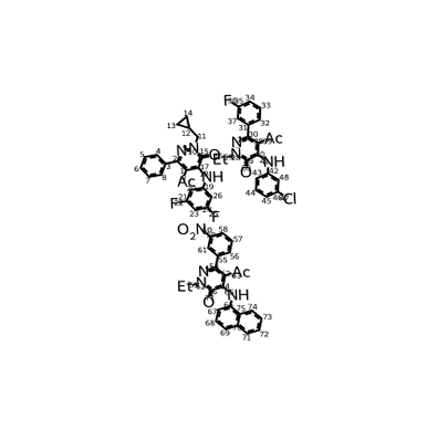 CC(=O)c1c(-c2ccccc2)nn(CC2CC2)c(=O)c1Nc1cc(F)cc(F)c1.CCn1nc(-c2cccc(F)c2)c(C(C)=O)c(Nc2cccc(Cl)c2)c1=O.CCn1nc(-c2cccc([N+](=O)[O-])c2)c(C(C)=O)c(Nc2cccc3ccccc23)c1=O